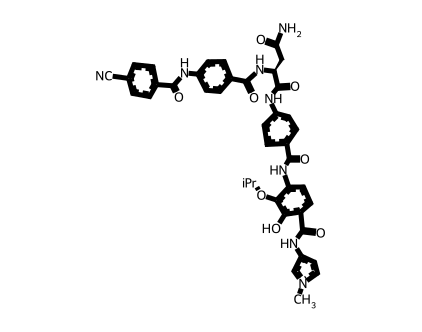 CC(C)Oc1c(NC(=O)c2ccc(NC(=O)[C@H](CC(N)=O)NC(=O)c3ccc(NC(=O)c4ccc(C#N)cc4)cc3)cc2)ccc(C(=O)Nc2ccn(C)c2)c1O